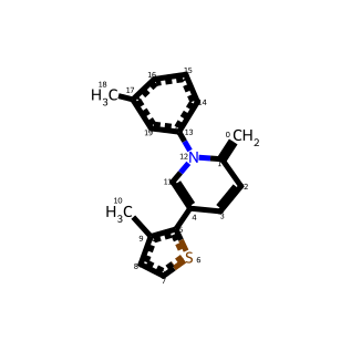 C=C1C=CC(c2sccc2C)=CN1c1cccc(C)c1